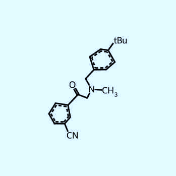 CN(CC(=O)c1cccc(C#N)c1)Cc1ccc(C(C)(C)C)cc1